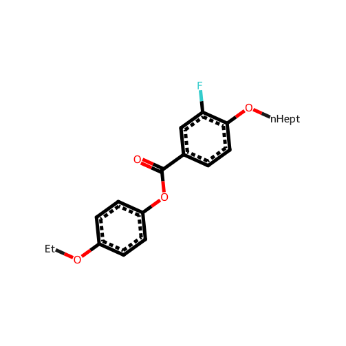 CCCCCCCOc1ccc(C(=O)Oc2ccc(OCC)cc2)cc1F